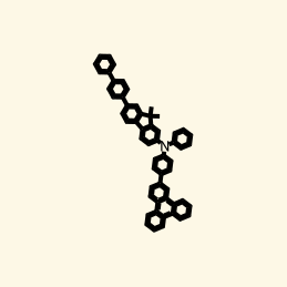 CC1(C)c2cc(-c3ccc(-c4ccccc4)cc3)ccc2-c2ccc(N(c3ccccc3)c3ccc(-c4ccc5c6ccccc6c6ccccc6c5c4)cc3)cc21